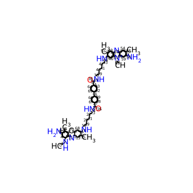 C#CNc1cc(N)c(C)cc1/N=C1/C=C(C)C(NCCCCCCNC(=O)c2ccc(-c3ccc(C(=O)NCCCCCCNc4cc5c(cc4C)nc4cc(C)c(N)cc4[n+]5C#C)cc3)cc2)=CC1=C